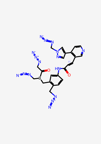 [N-]=[N+]=NCB(Cc1cc(NC(=O)/C=C/c2cnccc2-c2cnn(CN=[N+]=[N-])c2)ccc1CN=[N+]=[N-])C(=O)CN=[N+]=[N-]